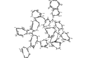 c1ccc(-c2cc(-c3ccccc3)cc(-n3c4ccccc4c4cc(-c5ccccc5-c5cccc(N(c6ccc7c(c6)C6(c8ccccc8-c8ccccc86)c6ccccc6-7)c6ccc7ccccc7c6)c5)ccc43)c2)cc1